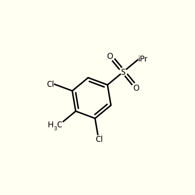 Cc1c(Cl)cc(S(=O)(=O)C(C)C)cc1Cl